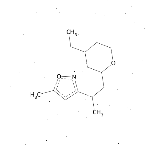 CCC1CCOC(CC(C)c2cc(C)on2)C1